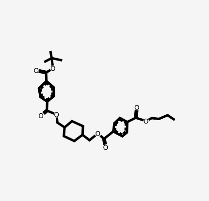 CCCCOC(=O)c1ccc(C(=O)OCC2CCC(COC(=O)c3ccc(C(=O)OC(C)(C)C)cc3)CC2)cc1